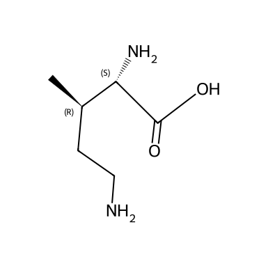 C[C@H](CCN)[C@H](N)C(=O)O